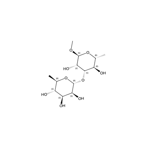 CO[C@H]1O[C@H](C)[C@@H](O)[C@H](O[C@H]2O[C@H](C)[C@@H](O)[C@H](O)[C@@H]2O)[C@@H]1O